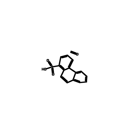 C=O.O=S(=O)(O)c1cccc2c1ccc1ccccc12